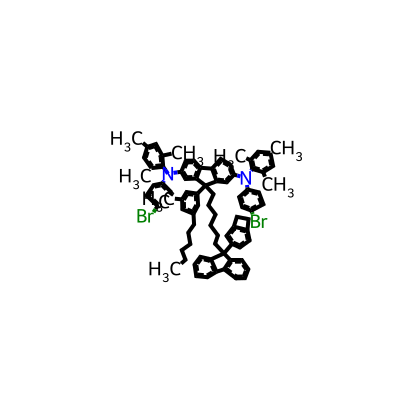 CCCCCCc1cc(C)cc(C2(CCCCCCC3(c4ccc5c(c4)CC5)c4ccccc4-c4ccccc43)c3cc(N(c4ccc(Br)cc4)c4c(C)cc(C)cc4C)ccc3-c3ccc(N(c4ccc(Br)cc4)c4c(C)cc(C)cc4C)cc32)c1